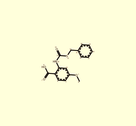 COc1ccc(C(=O)O)c(NC(=O)SCc2ccccc2)c1